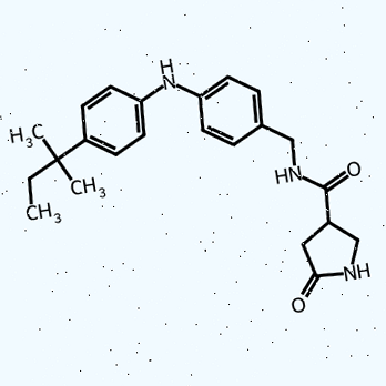 CCC(C)(C)c1ccc(Nc2ccc(CNC(=O)C3CNC(=O)C3)cc2)cc1